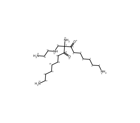 NCCCCCCC(=O)C(N)(CNCCN)C(=O)CCCCCCN